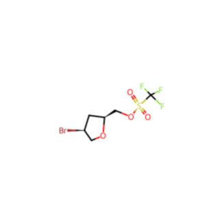 O=S(=O)(OC[C@@H]1C[C@H](Br)CO1)C(F)(F)F